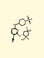 C[C@]1(O)CC(F)(F)C[C@H]1Oc1nc(NC2CCN(S(C)(=O)=O)CC2)ncc1C#N